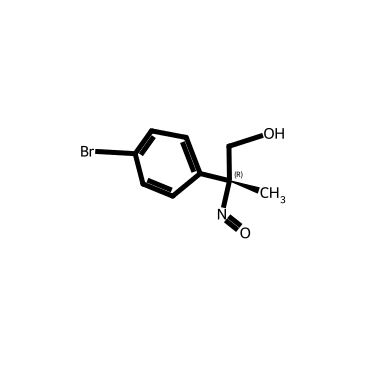 C[C@@](CO)(N=O)c1ccc(Br)cc1